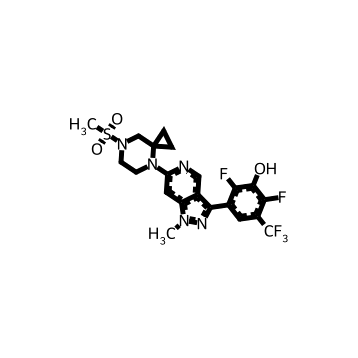 Cn1nc(-c2cc(C(F)(F)F)c(F)c(O)c2F)c2cnc(N3CCN(S(C)(=O)=O)CC34CC4)cc21